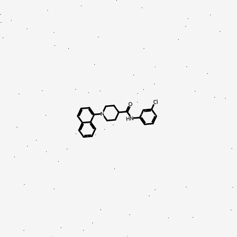 O=C(Nc1cccc(Cl)c1)C1CCN(c2cccc3ccccc23)CC1